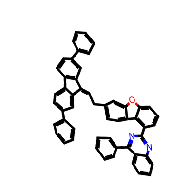 C(Cc1ccc2c(c1)oc1cccc(-c3nc(-c4ccccc4)c4ccccc4n3)c12)=C1c2cc(-c3ccccc3)ccc2-c2ccc(-c3ccccc3)cc21